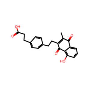 CC1=C(CCc2ccc(CCC(=O)O)cc2)C(=O)c2c(O)cccc2C1=O